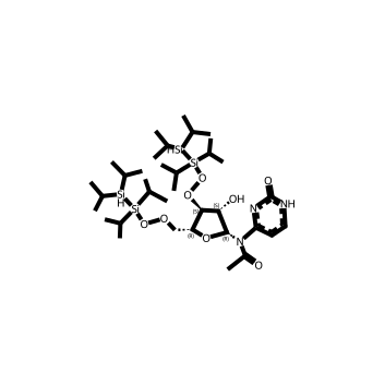 CC(=O)N(c1cc[nH]c(=O)n1)[C@@H]1O[C@H](COO[Si](C(C)C)(C(C)C)[SiH](C(C)C)C(C)C)[C@@H](OO[Si](C(C)C)(C(C)C)[SiH](C(C)C)C(C)C)[C@@H]1O